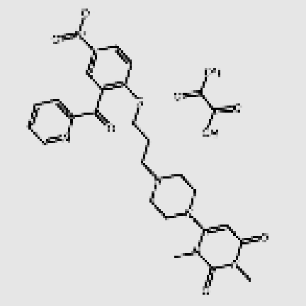 Cn1c(N2CCN(CCCSc3ccc([N+](=O)[O-])cc3C(=O)c3ccccn3)CC2)cc(=O)n(C)c1=O.O=C(O)C(=O)O